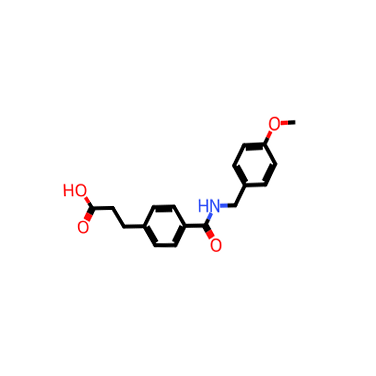 COc1ccc(CNC(=O)c2ccc(CCC(=O)O)cc2)cc1